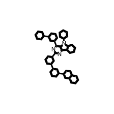 c1ccc(-c2cccc(-c3nc(-c4cccc(-c5cccc(-c6ccc7ccccc7c6)c5)c4)nc4c5ccccc5n(-c5ccccc5)c34)c2)cc1